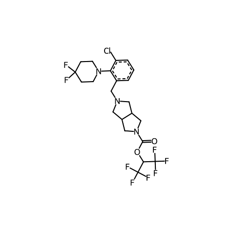 O=C(OC(C(F)(F)F)C(F)(F)F)N1CC2CN(Cc3cccc(Cl)c3N3CCC(F)(F)CC3)CC2C1